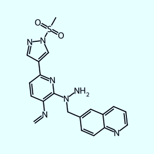 C=Nc1ccc(-c2cnn(S(C)(=O)=O)c2)nc1N(N)Cc1ccc2ncccc2c1